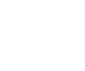 O=C(CCl)Nc1ccc(C(F)(F)F)cc1CO